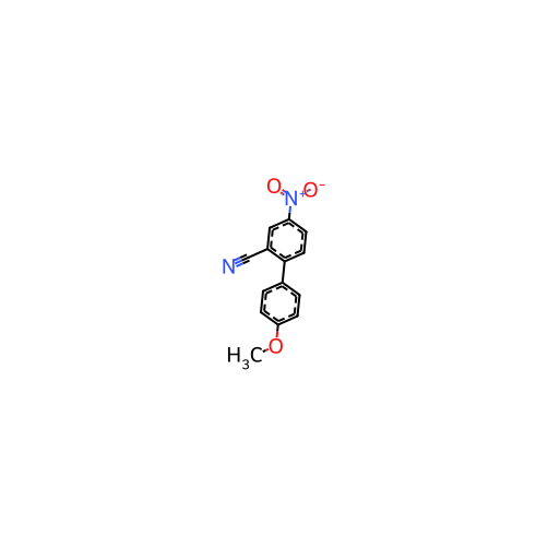 COc1ccc(-c2ccc([N+](=O)[O-])cc2C#N)cc1